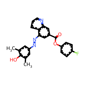 Cc1cc(/N=N/c2cc(C(=O)Oc3ccc(F)cc3)cc3ncccc23)cc(C)c1O